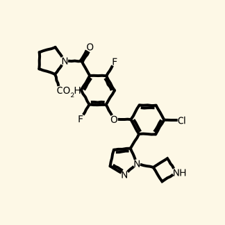 O=C(O)C1CCCN1C(=O)c1cc(F)c(Oc2ccc(Cl)cc2-c2ccnn2C2CNC2)cc1F